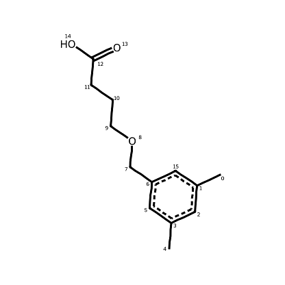 Cc1cc(C)cc(COCCCC(=O)O)c1